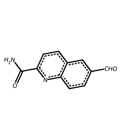 NC(=O)c1ccc2cc(C=O)ccc2n1